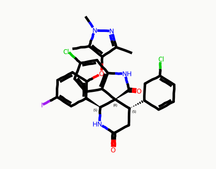 Cc1nn(C)c(C)c1Oc1ccc(I)cc1[C@@H]1NC(=O)C[C@@H](C2C=CC=C(Cl)C2)[C@]12C(=O)Nc1cc(Cl)ccc12